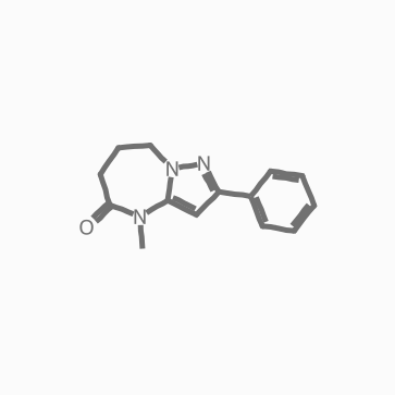 CN1C(=O)CCCn2nc(-c3ccccc3)cc21